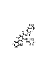 O=C(Nc1ccc(C(F)(F)F)cn1)c1ccc(-c2ncccc2Cl)cc1NCc1ccccc1